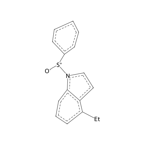 CCc1cccc2c1ccn2[S+]([O-])c1ccccc1